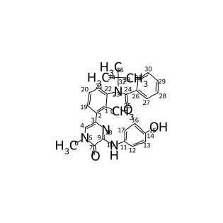 Cc1c(-c2cn(C)c(=O)c(Nc3ccc(O)cc3)n2)cccc1N(C(=O)c1ccccc1)C(C)(C)C